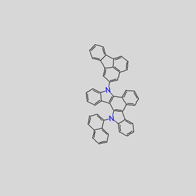 c1ccc2c(c1)-c1cccc3cc(-n4c5ccccc5c5c4c4ccccc4c4c6ccccc6n(-c6cccc7ccccc67)c45)cc-2c13